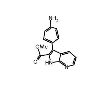 COC(=O)c1[nH]c2ncccc2c1-c1ccc(N)cc1